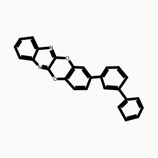 c1ccc(-c2cccc(-c3ccc4c(c3)Oc3nc5ccccc5nc3O4)c2)cc1